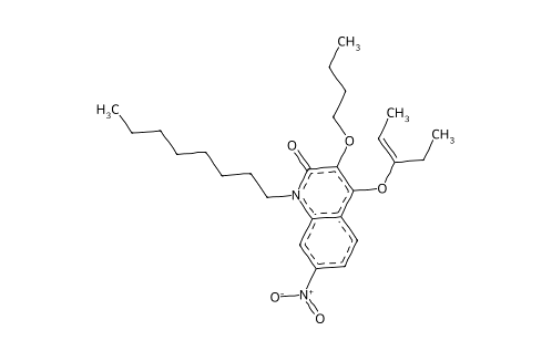 CC=C(CC)Oc1c(OCCCC)c(=O)n(CCCCCCCC)c2cc([N+](=O)[O-])ccc12